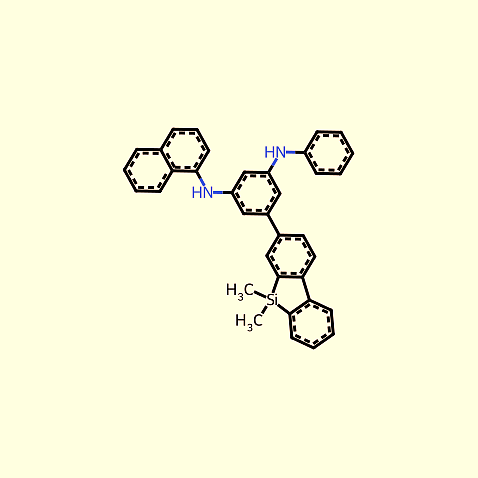 C[Si]1(C)c2ccccc2-c2ccc(-c3cc(Nc4ccccc4)cc(Nc4cccc5ccccc45)c3)cc21